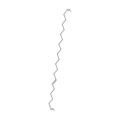 CCCCCC=CCCCCCCCCCCCCCC